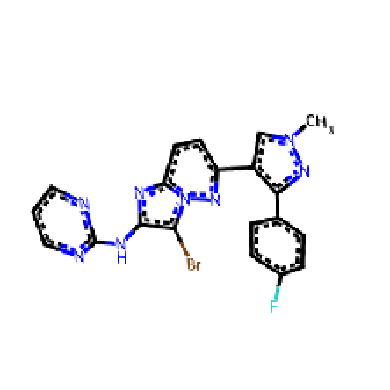 Cn1cc(-c2ccc3nc(Nc4ncccn4)c(Br)n3n2)c(-c2ccc(F)cc2)n1